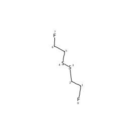 FCCSSCCF